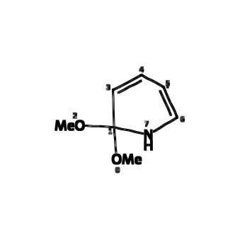 COC1(OC)C=C[C]=CN1